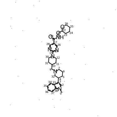 Cn1cc(C2CCCN(CC3CCN(c4ncc(C(=O)NOC5CCCCO5)cn4)CC3)C2)c2ccccc21